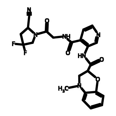 CN1CC(C(=O)Nc2cnccc2C(=O)NCC(=O)N2CC(F)(F)CC2C#N)Oc2ccccc21